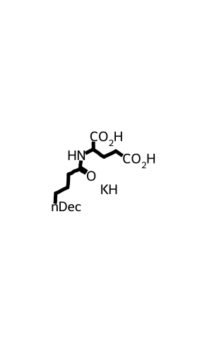 CCCCCCCCCCCCCC(=O)NC(CCC(=O)O)C(=O)O.[KH]